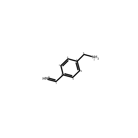 N=Cc1ccc(CN)cc1